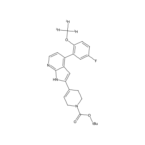 [2H]C([2H])([2H])Oc1ccc(F)cc1-c1ccnc2[nH]c(C3=CCN(C(=O)OC(C)(C)C)CC3)cc12